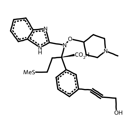 CSCC[C@@](C(=O)O)(c1cccc(C#CCO)c1)N(OC1CCN(C)CC1)c1nc2ccccc2[nH]1